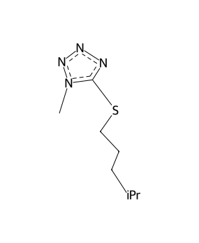 CC(C)CCCSc1nnnn1C